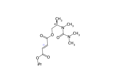 CC(C)OC(=O)/C=C/C(=O)OC[C@@H](C)N(C)C(=O)N(C)C